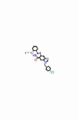 CCCOc1ccccc1-c1nc2cc3ncn(Cc4ccc(Cl)cc4)c3cc2c(=O)[nH]1